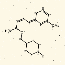 COC1=N/C(=C/C=C\C(N)OCC2CCN(C)CC2)CN=C1